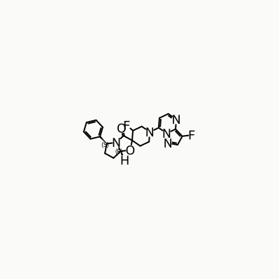 O=C1N2[C@@H](CC[C@H]2c2ccccc2)OC12CCN(c1ccnc3c(F)cnn13)CC2F